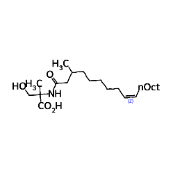 CCCCCCCC/C=C\CCCCCC(C)CC(=O)NC(C)(CO)C(=O)O